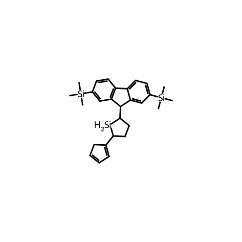 C[Si](C)(C)c1ccc2c(c1)C(C1CCC(C3=CC=CC3)[SiH2]1)c1cc([Si](C)(C)C)ccc1-2